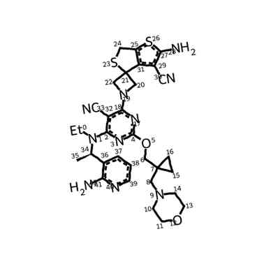 CCN(c1nc(OCC2(CN3CCOCC3)CC2)nc(N2CC3(C2)SCc2sc(N)c(C#N)c23)c1C#N)[C@H](C)c1cccnc1N